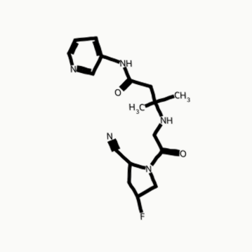 CC(C)(CC(=O)Nc1cccnc1)NCC(=O)N1CC(F)CC1C#N